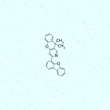 CC1(C)c2ccccc2Oc2cc(-c3cccc4c3oc3ccccc34)ncc21